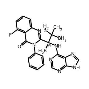 BC(B)(C)[C@](B)(Nc1ncnc2[nH]cnc12)c1nc2cccc(F)c2c(=O)n1-c1ccccc1